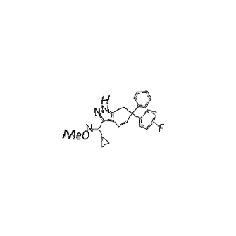 CO/N=C(/c1n[nH]c2c1C=CC(c1ccccc1)(c1ccc(F)cc1)C2)C1CC1